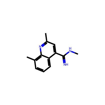 CNC(=N)c1cc(C)nc2c(C)cccc12